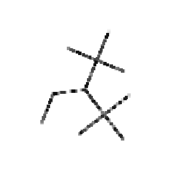 CCC(C(C)(C)C)C(C)(C)C